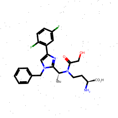 CC(C)(C)[C@H](c1nc(-c2cc(F)ccc2F)cn1Cc1ccccc1)N(CC[C@H](N)C(=O)O)C(=O)CO